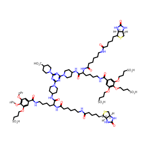 CCCOc1cc(C(=O)NCCCCC(NC(=O)CCCCCNC(=O)CCCC[C@H]2SC[C@H]3NC(=O)N[C@H]32)C(=O)NC2CCN(c3nc(N4CCC(NC(=O)C(CCCCNC(=O)c5cc(OCCCS(=O)(=O)O)c(OCCCS(=O)(=O)O)c(OCCCS(=O)(=O)O)c5)NC(=O)CCCCCNC(=O)CCCCC5SC[C@@H]6NC(=O)N[C@H]56)CC4)nc(N4CCC(C(=O)O)CC4)n3)CC2)cc(OCCCS(=O)(=O)O)c1OCCC